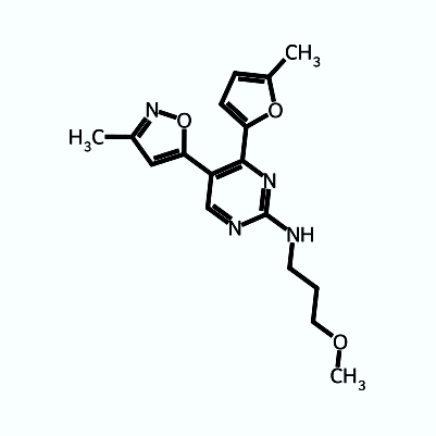 COCCCNc1ncc(-c2cc(C)no2)c(-c2ccc(C)o2)n1